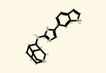 c1cc2ccc(-c3cnc(OC4C5CC6CC4CN(C6)C5)s3)cc2[nH]1